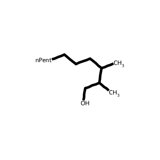 CCCCCCCCC(C)C(C)CO